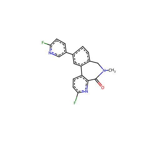 CN1Cc2ccc(-c3ccc(F)nc3)cc2-c2ccc(F)nc2C1=O